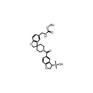 CC(C)(C)OC(=O)NCc1ccc2c(c1)C1(CCN(C(=O)c3ccc4c(c3)C([Si](C)(C)O)CO4)CC1)CO2